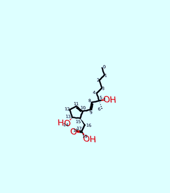 CCCCC[C@@](C)(O)C=CC1=CC[C@@H](O)[C@@H]1CC(=O)O